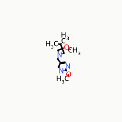 COc1ncc(CN2CC(OC)(C(C)C)C2)cn1